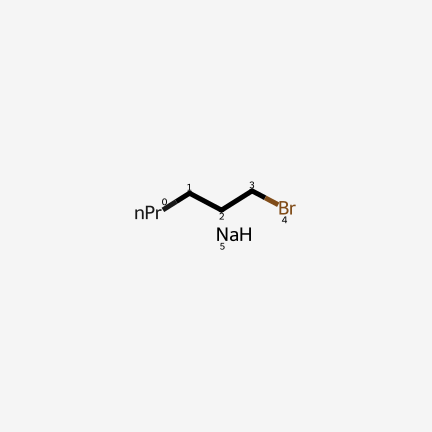 [CH2]CCCCCBr.[NaH]